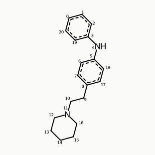 c1ccc(Nc2ccc(CCN3CCCCC3)cc2)cc1